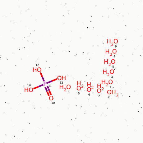 O.O.O.O.O.O.O.O.O.O.O=P(O)(O)O